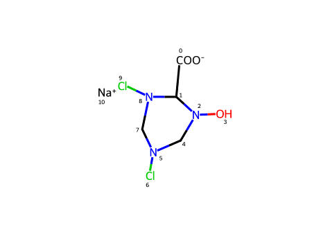 O=C([O-])C1N(O)CN(Cl)CN1Cl.[Na+]